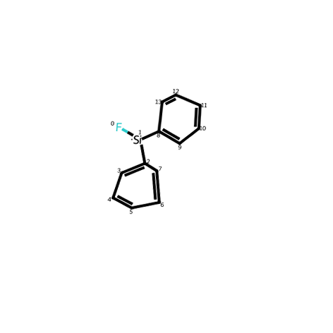 F[Si](c1ccccc1)c1ccccc1